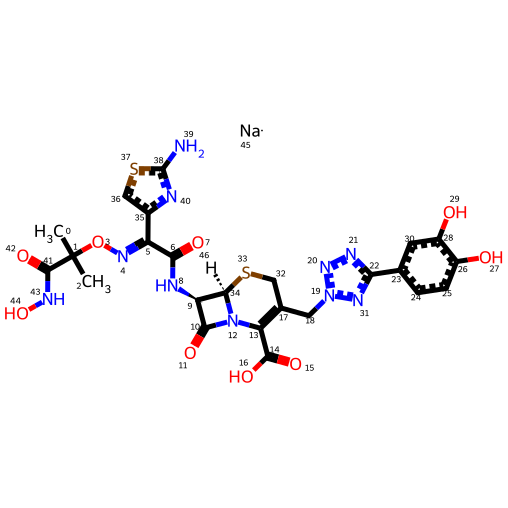 CC(C)(ON=C(C(=O)N[C@@H]1C(=O)N2C(C(=O)O)=C(Cn3nnc(-c4ccc(O)c(O)c4)n3)CS[C@H]12)c1csc(N)n1)C(=O)NO.[Na]